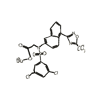 CC(C)(C)OC(=O)CN(c1ccc2c(-c3noc(C(Cl)(Cl)Cl)n3)cccc2c1)S(=O)(=O)c1cc(Cl)cc(Cl)c1